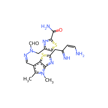 Cc1c(/C=N\N(C=O)Cc2csc(C(N)=O)n2)c2sc(CC(=N)/C=C\N)nc2n1C